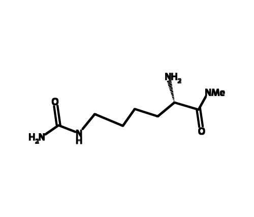 CNC(=O)[C@@H](N)CCCCNC(N)=O